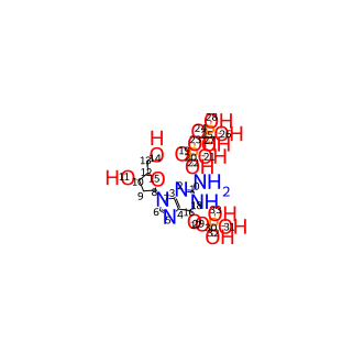 Nc1nc2c(ncn2[C@H]2C[C@H](O)[C@@H](CO)O2)c(=O)[nH]1.O=P(O)(O)O.O=P(O)(O)O.O=P(O)(O)O